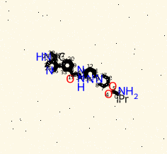 CC(C)[C@H](N)C(=O)OC1CCN(c2ccc3nc(C(=O)c4ccc(C#N)c(-c5cncc6[nH]ccc56)c4)[nH]c3n2)CC1